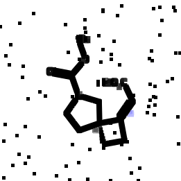 CCOC(=O)/C=C1/CC[C@@]12CCN(C(=O)OC(C)(C)C)C2